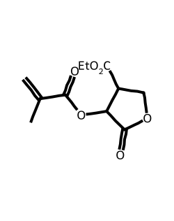 C=C(C)C(=O)OC1C(=O)OCC1C(=O)OCC